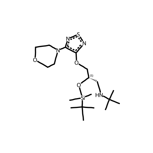 CC(C)(C)NC[C@@H](COc1nsnc1N1CCOCC1)O[Si](C)(C)C(C)(C)C